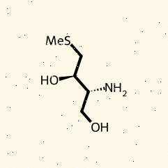 CSC[C@H](O)[C@H](N)CO